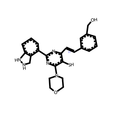 OCc1cccc(/C=C/c2nc(-c3cccc4c3CNN4)nc(N3CCOCC3)c2S)c1